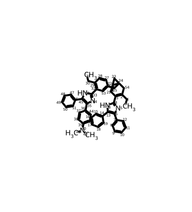 CCC1=C(c2nc(-c3ccccc3)c(-c3ccccc3)[nH]2)C=C2CC2(Cc2ccc(CC)c(-c3nc(-c4ccc(N(C)C)cc4)c(-c4ccccc4)[nH]3)c2)C1